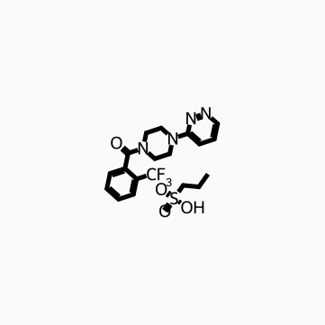 CCCS(=O)(=O)O.O=C(c1ccccc1C(F)(F)F)N1CCN(c2cccnn2)CC1